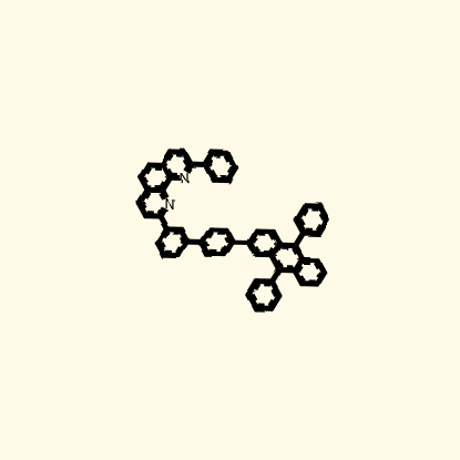 c1ccc(-c2ccc3ccc4ccc(-c5cccc(-c6ccc(-c7ccc8c(-c9ccccc9)c9ccccc9c(-c9ccccc9)c8c7)cc6)c5)nc4c3n2)cc1